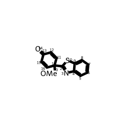 COC1(c2nc3ccccc3s2)C=CC(=O)C=C1